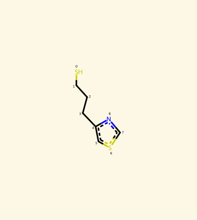 SCCCc1cscn1